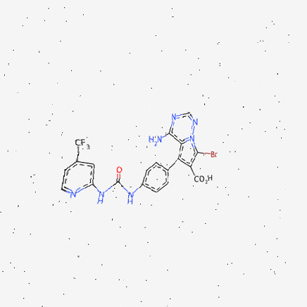 Nc1ncnn2c(Br)c(C(=O)O)c(-c3ccc(NC(=O)Nc4cc(C(F)(F)F)ccn4)cc3)c12